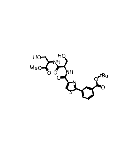 COC(=O)C(CO)NC(=O)C(CO)NC(=O)c1csc(-c2cccc(C(=O)OC(C)(C)C)c2)n1